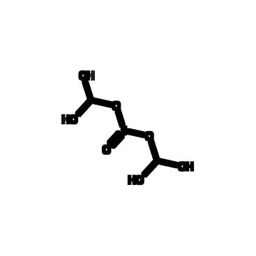 O=S(OC(O)O)OC(O)O